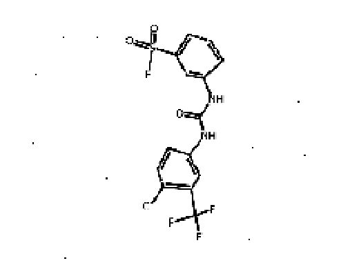 O=C(Nc1cccc(S(=O)(=O)F)c1)Nc1ccc(Cl)c(C(F)(F)F)c1